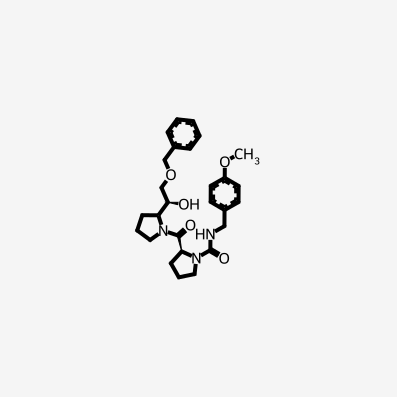 COc1ccc(CNC(=O)N2CCC[C@H]2C(=O)N2CCCC2[C@H](O)COCc2ccccc2)cc1